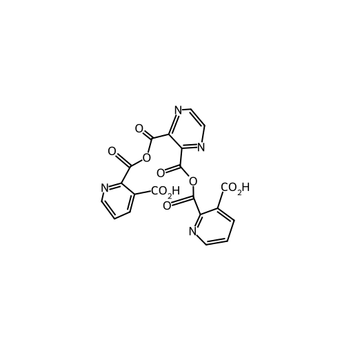 O=C(O)c1cccnc1C(=O)OC(=O)c1nccnc1C(=O)OC(=O)c1ncccc1C(=O)O